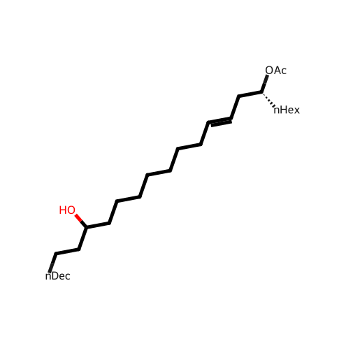 CCCCCCCCCCCCC(O)CCCCCCCC=CC[C@@H](CCCCCC)OC(C)=O